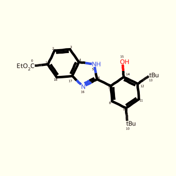 CCOC(=O)c1ccc2[nH]c(-c3cc(C(C)(C)C)cc(C(C)(C)C)c3O)nc2c1